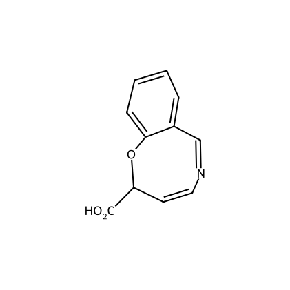 O=C(O)C1C=CN=Cc2ccccc2O1